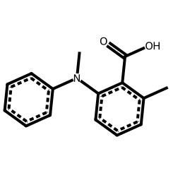 Cc1cccc(N(C)c2ccccc2)c1C(=O)O